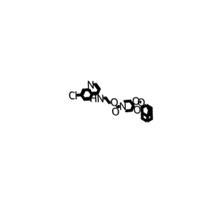 O=C(OCCNc1ccnc2cc(Cl)ccc12)N1CCC2(CC1)OOC1(O2)C2CC3CC(C2)CC1C3